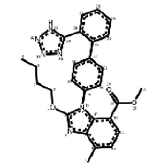 CCCCOc1nc2c(C)ccc(C(=O)OC)c2n1-c1ccc(-c2ccccc2-c2nnn[nH]2)cc1